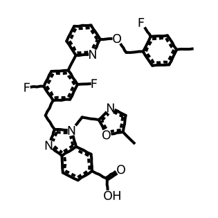 Cc1ccc(COc2cccc(-c3cc(F)c(Cc4nc5ccc(C(=O)O)cc5n4Cc4ncc(C)o4)cc3F)n2)c(F)c1